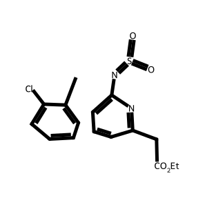 CCOC(=O)Cc1cccc(N=S(=O)=O)n1.Cc1ccccc1Cl